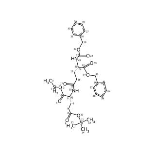 C[SiH2]OC(=O)[C@@H](CCC(=O)O[Si](C)(C)C)NC(=O)CC[C@H](NC(=O)OCc1ccccc1)C(=O)OCc1ccccc1